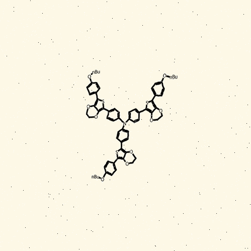 CCCCOc1ccc(-c2sc(-c3ccc(N(c4ccc(-c5sc(-c6ccc(OCCCC)cc6)c6c5OCCO6)cc4)c4ccc(-c5sc(-c6ccc(OCCCC)cc6)c6c5OCCO6)cc4)cc3)c3c2OCCO3)cc1